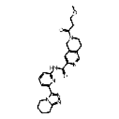 COCCC(=O)N1CCc2cnc(C(=O)Nc3cccc(-c4nnc5n4CCCC5)n3)cc2C1